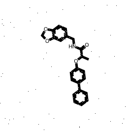 CC(Oc1ccc(-c2ccccc2)cc1)C(=O)NCc1ccc2c(c1)OCO2